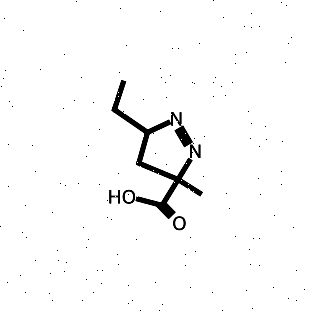 CCC1CC(C)(C(=O)O)N=N1